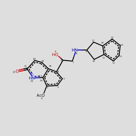 CC(=O)Oc1ccc(C(O)CNC2Cc3ccccc3C2)c2ccc(=O)[nH]c12